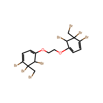 BrCC1(Br)C(Br)=CC=C(OCCOC2=CC=C(Br)C(Br)(CBr)C2Br)C1Br